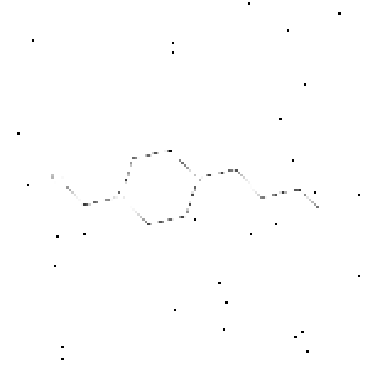 [O]CCCN1CCN(CO)CC1